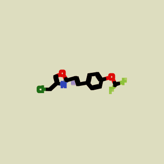 FC(F)Oc1ccc(/C=C/c2nc(CCl)co2)cc1